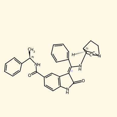 C[C@@H](NC(=O)c1ccc2c(c1)/C(=C(/N[C@@H]1CN3CCC1CC3)c1ccccc1)C(=O)N2)c1ccccc1